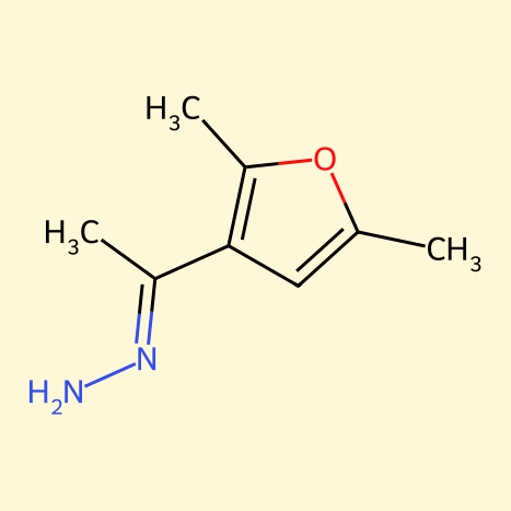 CC(=NN)c1cc(C)oc1C